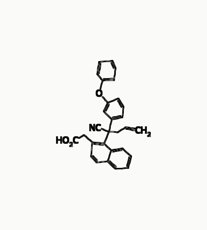 C=CCC(C#N)(c1cccc(Oc2ccccc2)c1)c1c(CC(=O)O)ccc2ccccc12